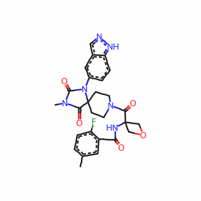 Cc1ccc(F)c(C(=O)NC2(C(=O)N3CCC4(CC3)C(=O)N(C)C(=O)N4c3ccc4[nH]ncc4c3)COC2)c1